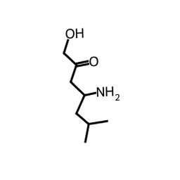 CC(C)CC(N)CC(=O)CO